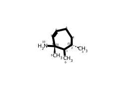 CC1[C@@H](C)CCC=C[C@@]1(C)N